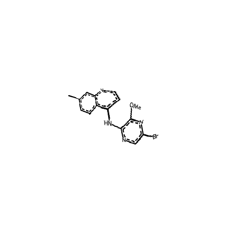 COc1nc(Br)cnc1Nc1ccnc2cc(C)ccc12